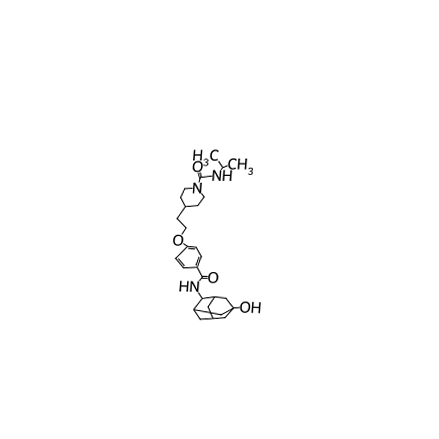 CC(C)NC(=O)N1CCC(CCOc2ccc(C(=O)NC3C4CC5CC3CC(O)(C5)C4)cc2)CC1